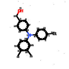 CCc1ccc(N(c2ccc(CO)cc2)c2ccc(C)c(C)c2)cc1